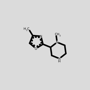 Cc1coc(C2CNCCN2C)n1